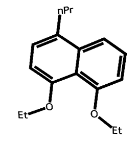 CCCc1ccc(OCC)c2c(OCC)cccc12